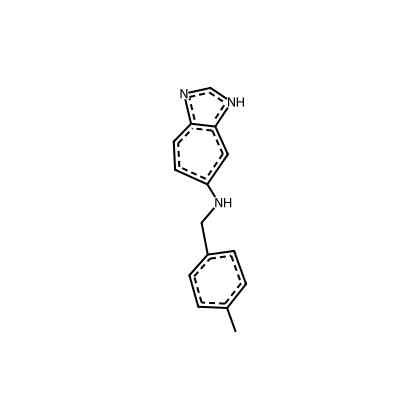 Cc1ccc(CNc2ccc3nc[nH]c3c2)cc1